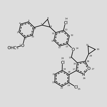 O=COc1cccc(C2CC2c2ccc(OCc3c(-c4c(Cl)cccc4Cl)noc3C3CC3)cc2Cl)c1